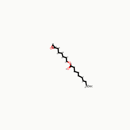 CCCCCCCCCCCCCCCCCC(=O)OCCCCCCC1CO1